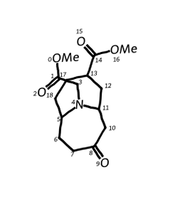 COC(=O)CN1C2CCC(=O)CC1CC(C(=O)OC)CC2